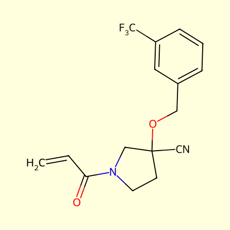 C=CC(=O)N1CCC(C#N)(OCc2cccc(C(F)(F)F)c2)C1